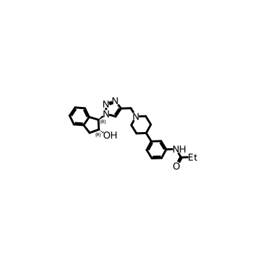 CCC(=O)Nc1cccc(C2CCN(Cc3cn([C@@H]4c5ccccc5C[C@H]4O)nn3)CC2)c1